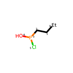 CCCCP(O)Cl